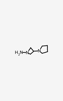 NN1CC(N2CCCC2)C1